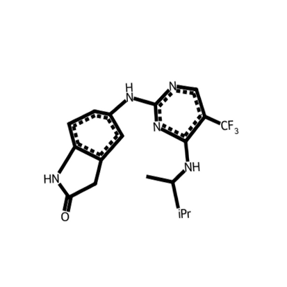 CC(C)C(C)Nc1nc(Nc2ccc3c(c2)CC(=O)N3)ncc1C(F)(F)F